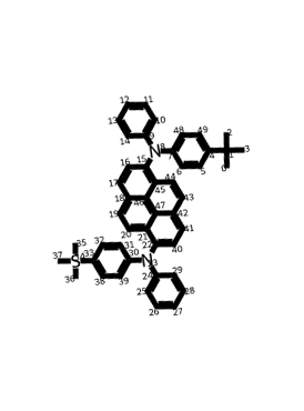 CC(C)(C)c1ccc(N(c2ccccc2)c2ccc3ccc4c(N(c5ccccc5)c5ccc(S(C)(C)C)cc5)ccc5ccc2c3c54)cc1